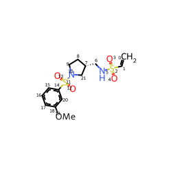 C=CS(=O)(=O)NC[C@H]1CCN(S(=O)(=O)c2cccc(OC)c2)C1